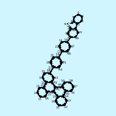 c1ccc2c(c1)sc1cc(-c3ccc(-c4ccc(-c5ccc6c7ccccc7c7c8ccccc8c8ccccc8c7c6c5)cc4)cc3)ccc12